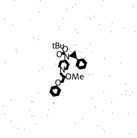 COC(COc1ccccc1)CN1CCC(N(C(=O)OC(C)(C)C)[C@@H]2C[C@H]2c2ccccc2)CC1